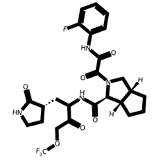 O=C(Nc1ccccc1F)C(=O)N1C[C@@H]2CCC[C@@H]2[C@H]1C(=O)NC(C[C@@H]1CCNC1=O)C(=O)COC(F)(F)F